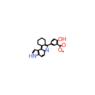 COC(=O)c1cc(-c2nc3ccc4[nH]ccc4c3c3c2CCCC3)ccc1O